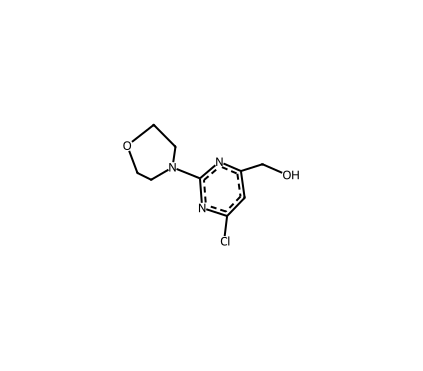 OCc1cc(Cl)nc(N2CCOCC2)n1